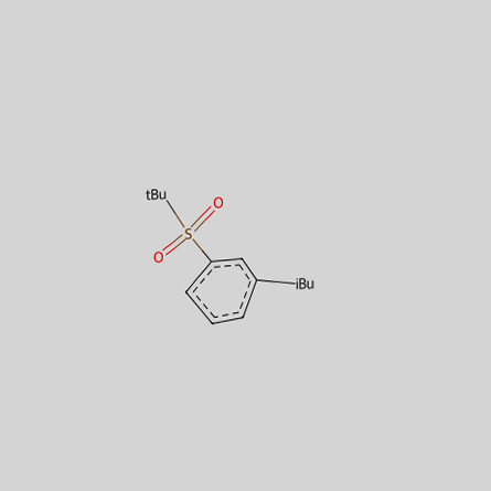 CCC(C)c1cccc(S(=O)(=O)C(C)(C)C)c1